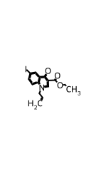 C=CCn1cc(C(=O)OCC)c(=O)c2cc(I)ccc21